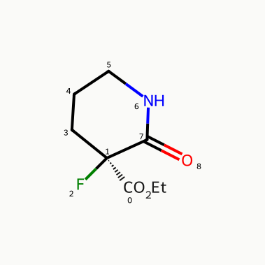 CCOC(=O)[C@]1(F)CCCNC1=O